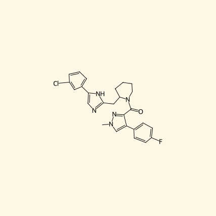 Cn1cc(-c2ccc(F)cc2)c(C(=O)N2CCCCC2Cc2ncc(-c3cccc(Cl)c3)[nH]2)n1